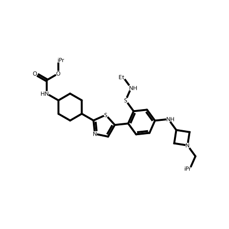 CCNSc1cc(NC2CN(CC(C)C)C2)ccc1-c1cnc(C2CCC(NC(=O)OC(C)C)CC2)s1